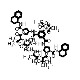 CN[C@@H](C)C(=O)N[C@H](C(=O)N1C[C@@H](NC(=O)c2cc(C(=O)N[C@H]3C[C@@H](C(=O)N[C@@H]4CCCc5ccccc54)N(C(=O)[C@@H](NC(=O)[C@H](C)NC)C(C)(C)C)C3)cc(N(S(C)(=O)=O)S(C)(=O)=O)c2)C[C@H]1C(=O)N[C@@H]1CCCc2ccccc21)C(C)(C)C